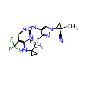 Cc1nn(C2CC2(C)C#N)cc1Nc1ncc(C(F)(F)F)c(NC2(C)CC2)n1